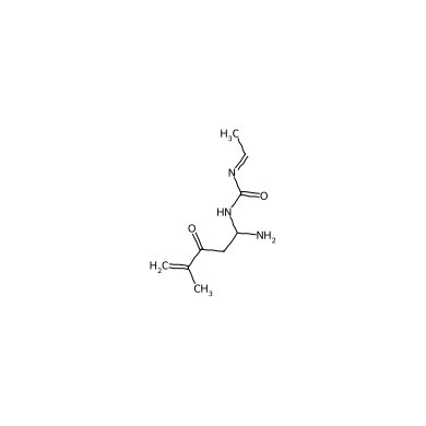 C=C(C)C(=O)CC(N)NC(=O)N=CC